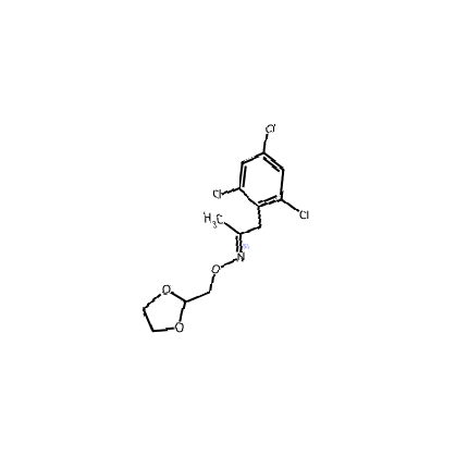 C/C(Cc1c(Cl)cc(Cl)cc1Cl)=N\OCC1OCCO1